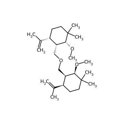 C=C(C)[C@@H]1CCC(C)(C)[C@H](OC)[C@@H]1COC[C@H]1[C@@H](OC)C(C)(C)CC[C@H]1C(=C)C